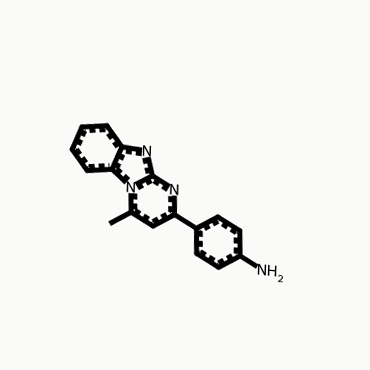 Cc1cc(-c2ccc(N)cc2)nc2nc3ccccc3n12